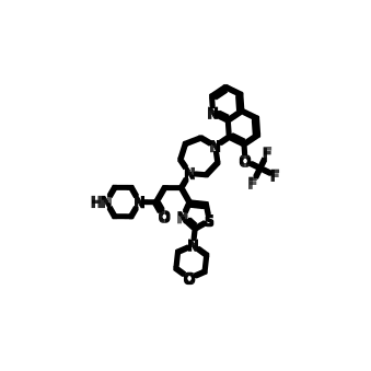 O=C(CC(c1csc(N2CCOCC2)n1)N1CCCN(c2c(OC(F)(F)F)ccc3cccnc23)CC1)N1CCNCC1